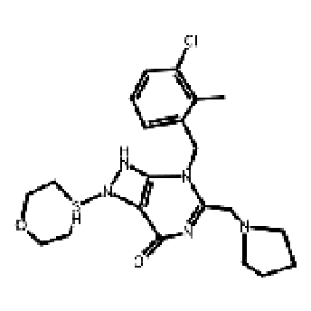 Cc1c(Cl)cccc1Cn1c(CN2CCCC2)nc(=O)c2c1[nH]n2[SH]1CCOCC1